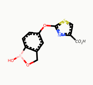 O=C(O)c1csc(Oc2ccc3c(c2)COB3O)n1